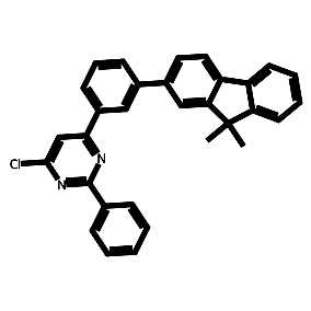 CC1(C)c2ccccc2-c2ccc(-c3cccc(-c4cc(Cl)nc(-c5ccccc5)n4)c3)cc21